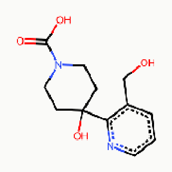 O=C(O)N1CCC(O)(c2ncccc2CO)CC1